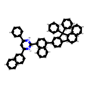 c1ccc(-c2cc(-c3ccc4ccccc4c3)nc(-c3ccc(-c4ccc5c(c4)C(c4ccccc4)(c4ccccc4)c4c-5ccc5ccccc45)c4ccccc34)n2)cc1